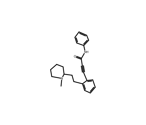 CN1CCCCC1CCc1ccccc1C#CC(=O)Nc1ccccc1